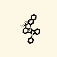 CC12B3c4cc5ccccc5cc4C(C)(C)C1C=CC=C2c1c3c2ccccc2n1-c1ccccc1